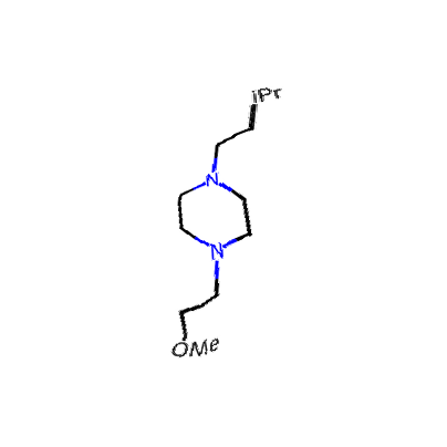 COCCN1CCN(CCC(C)C)CC1